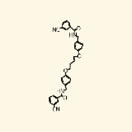 N#Cc1cccc(C(=O)NCc2ccc(OCCCCOc3ccc(CNC(=O)c4cccc(C#N)c4)cc3)cc2)c1